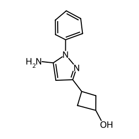 Nc1cc(C2CC(O)C2)nn1-c1ccccc1